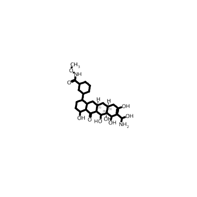 CONC(=O)C1CCCC(C2CCC(O)C3C(=O)C4C(O)[C@]5(O)C(O)C(C(N)O)=C(O)C[C@@H]5C[C@@H]4CC23)C1